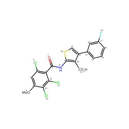 COc1cc(Cl)c(C(=O)Nc2scc(-c3cccc(F)c3)c2C(=O)O)c(Cl)c1Cl